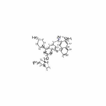 C/N=C/Cc1cc2c(N3CCC(O)CC3)nc(OC[C@@]34CCCN3C[C@H](F)C4)nc2c(F)c1-c1cc(O)cc2ccccc12